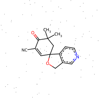 CC1(C)CC2(C=C(C#N)C1=O)OCc1cnccc12